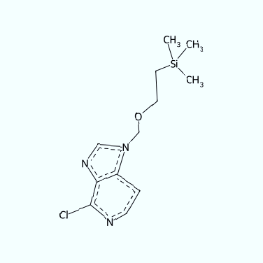 C[Si](C)(C)CCOCn1cnc2c(Cl)nccc21